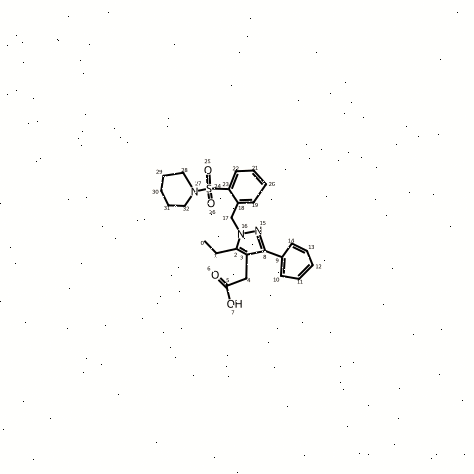 CCc1c(CC(=O)O)c(-c2ccccc2)nn1Cc1ccccc1S(=O)(=O)N1CCCCC1